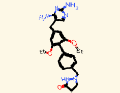 CCOc1cc(Cc2cnc(N)nc2N)cc(OCC)c1-c1ccc(CN2CCC(=O)N2)cc1